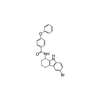 O=C(NC1CCCc2c1[nH]c1ccc(Br)cc21)c1ccc(Oc2ccccc2)cc1